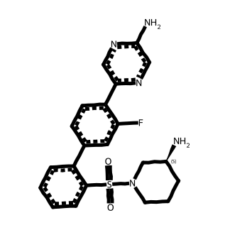 Nc1cnc(-c2ccc(-c3ccccc3S(=O)(=O)N3CCC[C@H](N)C3)cc2F)cn1